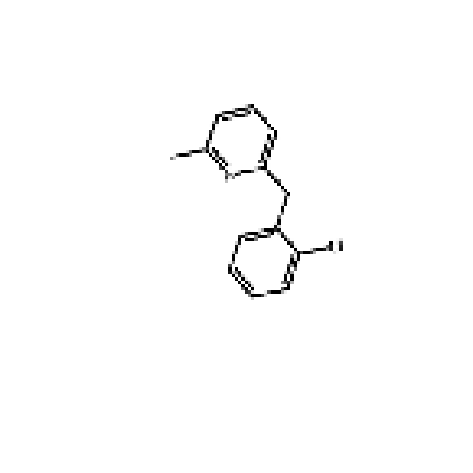 Cc1cccc(Cc2ccccc2Cl)n1